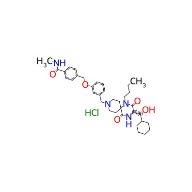 CCCCN1C(=O)[C@@H]([C@H](O)C2CCCCC2)NC(=O)C12CCN(Cc1cccc(OCc3ccc(C(=O)NC)cc3)c1)CC2.Cl